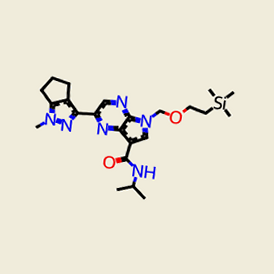 CC(C)NC(=O)c1cn(COCC[Si](C)(C)C)c2ncc(-c3nn(C)c4c3CCC4)nc12